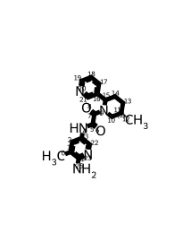 Cc1cc(NC(=O)C(=O)N2C[C@@H](C)CCC2c2cccnc2)cnc1N